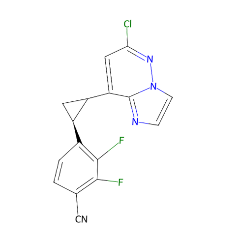 N#Cc1ccc([C@H]2CC2c2cc(Cl)nn3ccnc23)c(F)c1F